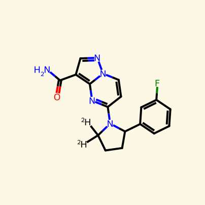 [2H]C1([2H])CCC(c2cccc(F)c2)N1c1ccn2ncc(C(N)=O)c2n1